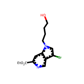 CCOC(=O)c1cc2c(cn1)c(Br)cn2CCCCO